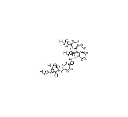 CCOC(=O)C(Cc1ccc(OCCN(C)C2c3ccccc3CCc3ccc(CC)cc32)cc1)OC